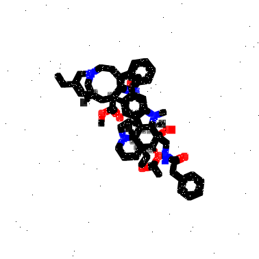 CCC1=C[C@@H]2CN(CCc3c([nH]c4ccccc34)[C@@](C(=O)OC)(c3cc4c(cc3OC)N(C)[C@H]3C(O)(CNC(=O)Cc5ccccc5)[C@H](OC(C)=O)[C@]5(CC)C=CCN6CC[C@]43[C@@H]65)C2)C1